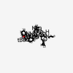 C=CCNC(=O)C(=O)[C@@H](CCC1CC1)NC(=O)[C@@H]1[C@@H]2[C@H](CN1C(=O)[C@@H](NC(=O)NC1(CS(=O)(=O)C(C)(C)C)CCCCC1)C1(C)CCCCC1)C2(C)C